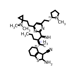 CCC/C(C(=N)c1nc(CC[C@@H]2CCCN2C)cc(CCC2(N(C)C)CC2)n1)=C(/C)[C@H]1CCCC2=C1C(C#N)C(N)S2